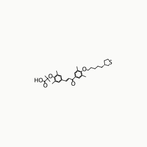 Cc1cc(C(=O)/C=C/c2cc(C)c(OC(C)(C)C(=O)O)c(C)c2)cc(C)c1OCCCCC[C@H]1CCSC1